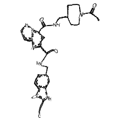 CC(=O)N1CCC(CNC(=O)c2cc(C(=O)NCc3ccc4oc(=O)[nH]c4c3)nc3ccnn23)CC1